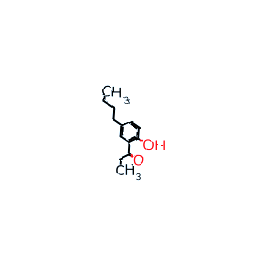 CCCCc1ccc(O)c(C(=O)CC)c1